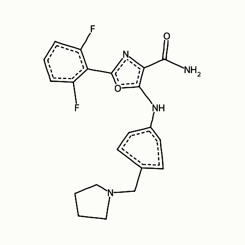 NC(=O)c1nc(-c2c(F)cccc2F)oc1Nc1ccc(CN2CCCC2)cc1